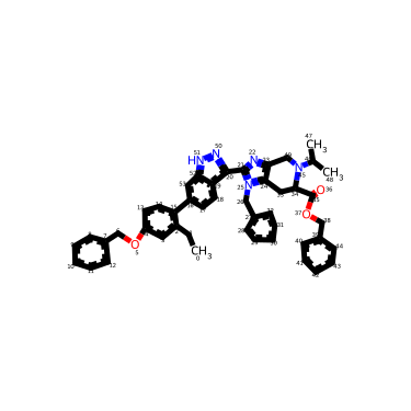 CCc1cc(OCc2ccccc2)ccc1-c1ccc2c(-c3nc4c(n3Cc3ccccc3)CC(C(=O)OCc3ccccc3)N(C(C)C)C4)n[nH]c2c1